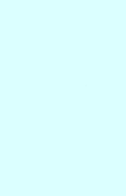 CC(C)Oc1ccccc1.CCCCCOCCCCC